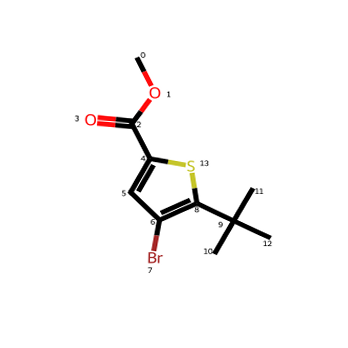 COC(=O)c1cc(Br)c(C(C)(C)C)s1